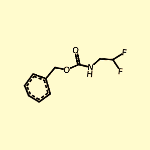 O=C(NCC(F)F)OCc1ccccc1